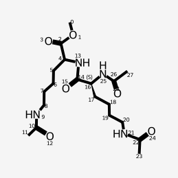 COC(=O)C(CCCCNC(C)=O)NC(=O)[C@H](CCCCNC(C)=O)NC(C)=O